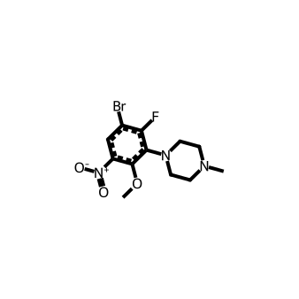 COc1c([N+](=O)[O-])cc(Br)c(F)c1N1CCN(C)CC1